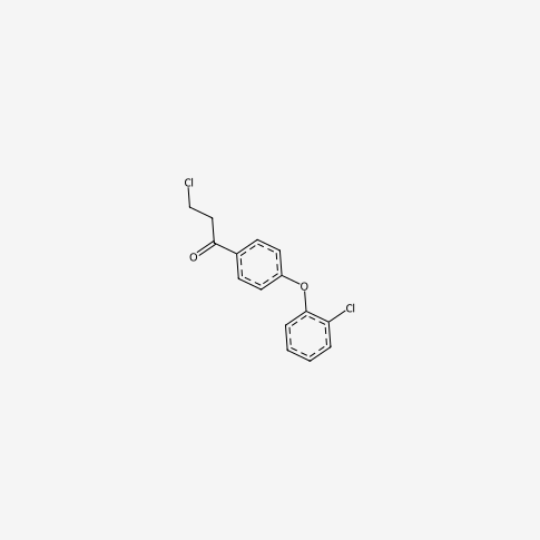 O=C(CCCl)c1ccc(Oc2ccccc2Cl)cc1